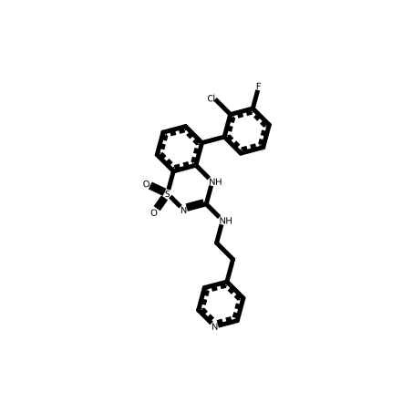 O=S1(=O)N=C(NCCc2ccncc2)Nc2c(-c3cccc(F)c3Cl)cccc21